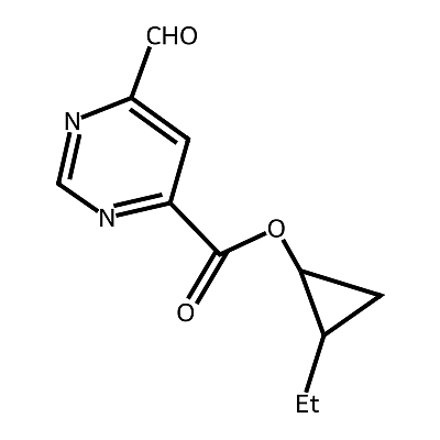 CCC1CC1OC(=O)c1cc(C=O)ncn1